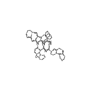 c1ccc(-c2nc(-c3ccc4c(ccc5ccccc54)c3)nc(-c3c(-n4c5cc6ccccc6cc5c5cc6ccccc6cc54)ccc4oc5ccccc5c34)n2)cc1